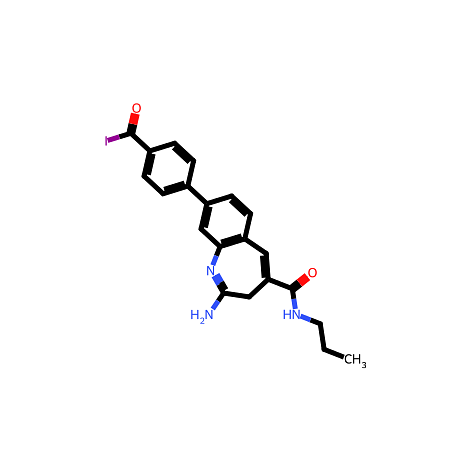 CCCNC(=O)C1=Cc2ccc(-c3ccc(C(=O)I)cc3)cc2N=C(N)C1